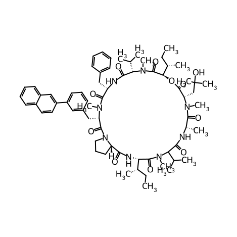 CC[C@H](C)[C@@H]1NC(=O)[C@@H]2CCCN2C(=O)[C@H](Cc2cccc(-c3ccc4ccccc4c3)c2)N(C)C(=O)[C@H](Cc2ccccc2)NC(=O)[C@H](C(C)C)N(C)C(=O)[C@@H]([C@@H](C)CC)OC(=O)[C@H](CC(C)(C)O)N(C)C(=O)[C@H](C)NC(=O)C(C(C)C)N(C)C1=O